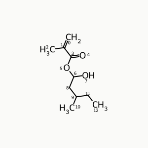 C=C(C)C(=O)OC(O)CC(C)CC